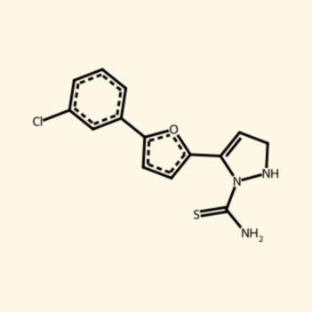 NC(=S)N1NCC=C1c1ccc(-c2cccc(Cl)c2)o1